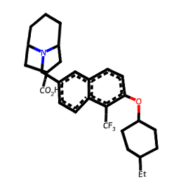 CCC1CCC(Oc2ccc3cc(CN4C5CCCC4CC(C(=O)O)C5)ccc3c2C(F)(F)F)CC1